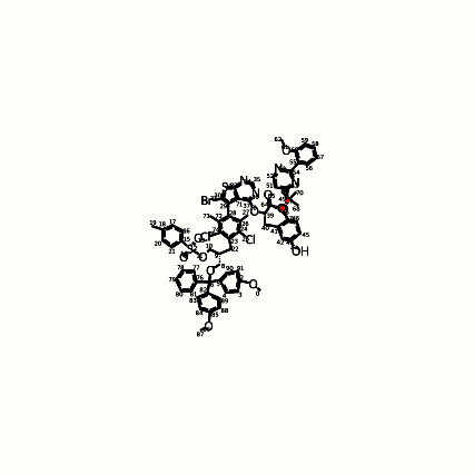 COc1ccc(C(OC[C@H](COS(=O)(=O)c2ccc(C)cc2)Cc2c(Cl)c(C)c(-c3c(Br)sc4ncnc(O[C@H](Cc5cc(O)ccc5OCc5ccnc(-c6ccccc6OC)n5)C(=O)OC(C)(C)C)c34)c(C)c2Cl)(c2ccccc2)c2ccc(OC)cc2)cc1